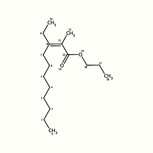 CCCCCCCCC(CC)=C(C)C(=O)OCCC